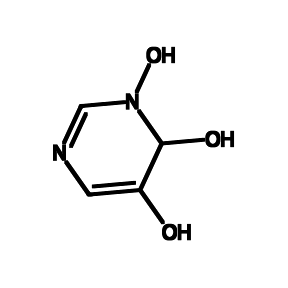 OC1=CN=CN(O)C1O